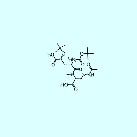 CC(=O)NSC[C@@H](C(=O)O)N(C)C(=O)[C@H](CC(OC(C)(C)C)C(=O)O)NC(=O)OC(C)(C)C